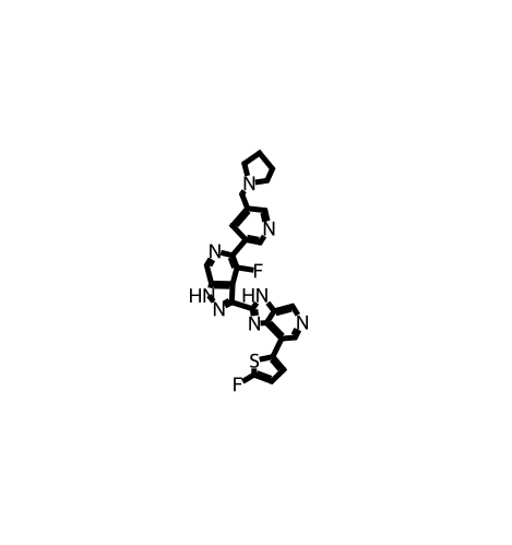 Fc1ccc(-c2cncc3[nH]c(-c4n[nH]c5cnc(-c6cncc(CN7CCCC7)c6)c(F)c45)nc23)s1